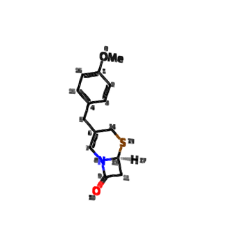 COc1ccc(CC2=CN3C(=O)C[C@@H]3SC2)cc1